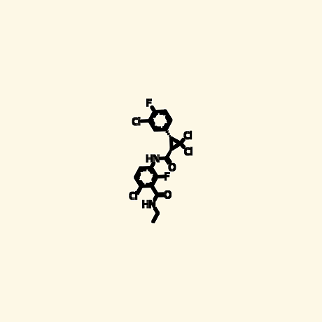 CCNC(=O)c1c(Cl)ccc(NC(=O)[C@H]2[C@H](c3ccc(F)c(Cl)c3)C2(Cl)Cl)c1F